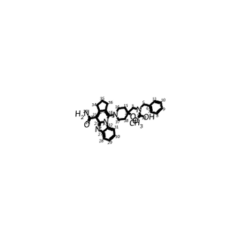 COC1(CN(Cc2ccccc2)C(=O)O)CCN(c2c3c(c(C(N)=O)c4nc5ccccc5n24)CCC3)CC1